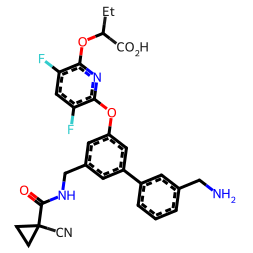 CCC(Oc1nc(Oc2cc(CNC(=O)C3(C#N)CC3)cc(-c3cccc(CN)c3)c2)c(F)cc1F)C(=O)O